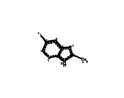 Cc1nc2cc(I)cnc2[nH]1